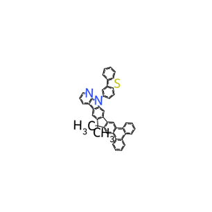 CC1(C)c2cc3c4ccccc4c4ccccc4c3cc2-c2cc3c(cc21)c1cccnc1n3-c1ccc2sc3ccccc3c2c1